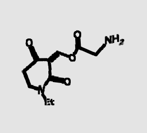 CCN1CCC(=O)C(=COC(=O)CN)C1=O